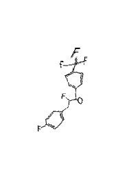 O=C(c1ccc(C(F)(F)F)cc1)C(F)Cc1ccc(F)cc1